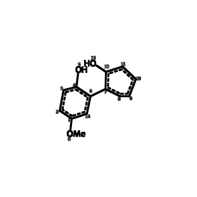 COc1ccc(O)c(-c2ccccc2O)c1